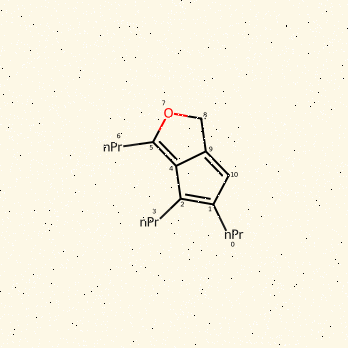 CCCC1=C(CCC)C2=C(CCC)O[CH]C2=C1